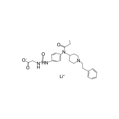 CCC(=O)N(c1ccc(NC(=O)NCC(=O)[O-])cc1)C1CCN(CCc2ccccc2)CC1.[Li+]